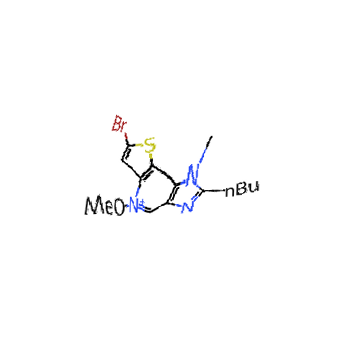 CCCCc1nc2c[n+](OC)c3cc(Br)sc3c2n1C